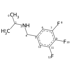 CC(C)NCc1cc(F)c(F)c(F)c1